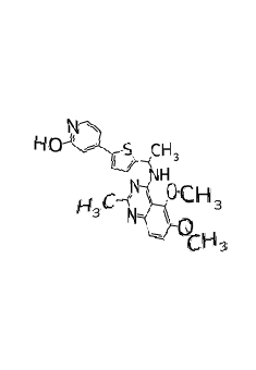 COc1ccc2nc(C)nc(NC(C)c3ccc(-c4ccnc(O)c4)s3)c2c1OC